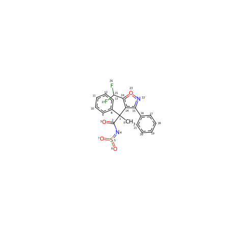 CC(C(=O)N=S(=O)=O)(c1ccccc1)c1c(-c2ccccc2)noc1C(F)F